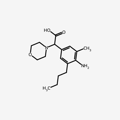 CCCCc1cc(C(C(=O)O)N2CCOCC2)cc(C)c1N